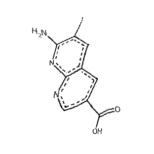 Nc1nc2ncc(C(=O)O)cc2cc1I